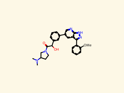 COc1ccccc1-c1n[nH]c2ncc(-c3cccc(C(O)C(=O)N4CCC(N(C)C)C4)c3)cc12